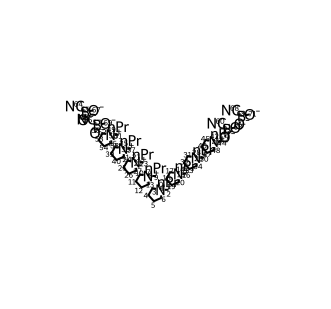 CCC[N+]1(C)CCCC1.CCC[N+]1(C)CCCC1.CCC[N+]1(C)CCCC1.CCC[N+]1(C)CCCC1.CCC[N+]1(C)CCCC1.CCC[N+]1(C)CCCC1.CCC[N+]1(C)CCCC1.CCC[N+]1(C)CCCC1.N#CB([O-])[O-].N#CB([O-])[O-].N#CB([O-])[O-].N#CB([O-])[O-]